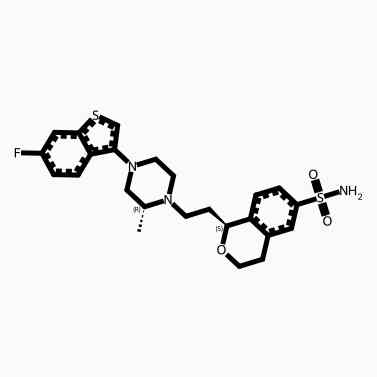 C[C@@H]1CN(c2csc3cc(F)ccc23)CCN1CC[C@@H]1OCCc2cc(S(N)(=O)=O)ccc21